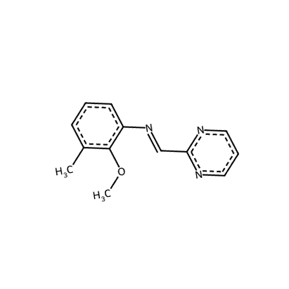 COc1c(C)cccc1N=Cc1ncccn1